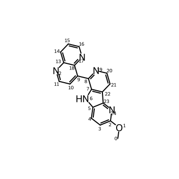 COc1ccc2[nH]c3c(-c4ccnc5cccnc45)nccc3c2n1